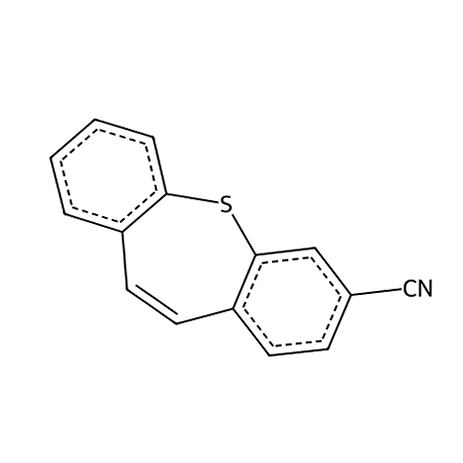 N#Cc1ccc2c(c1)Sc1ccccc1C=C2